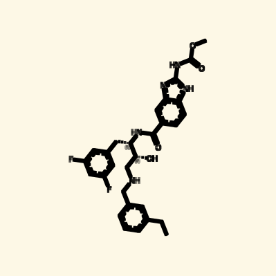 CCc1cccc(CNC[C@@H](O)[C@H](Cc2cc(F)cc(F)c2)NC(=O)c2ccc3[nH]c(NC(=O)OC)nc3c2)c1